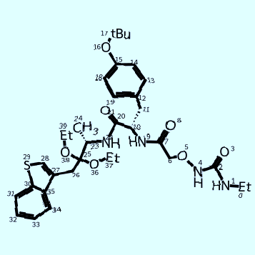 CCNC(=O)NOCC(=O)N[C@@H](Cc1ccc(OC(C)(C)C)cc1)C(=O)N[C@@H](C)C(Cc1csc2ccccc12)(OCC)OCC